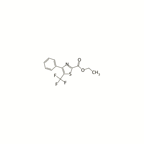 CCOC(=O)c1nc(-c2ccccc2)c(C(F)(F)F)s1